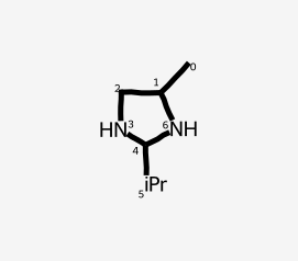 CC1CNC(C(C)C)N1